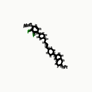 CCCC1CCc2cc(C3CCC(/C=C/CCC4CCC(c5ccc(OC)c(F)c5F)CC4)CC3)ccc2C1